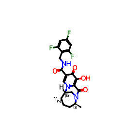 C[C@H]1CC[C@H](C)N2C[C@H]1n1cc(C(=O)NCc3c(F)cc(F)cc3F)c(=O)c(O)c1C2=O